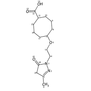 CC1=NN(CCOC2CCCC(C(=O)O)CCC2)C(=O)C1